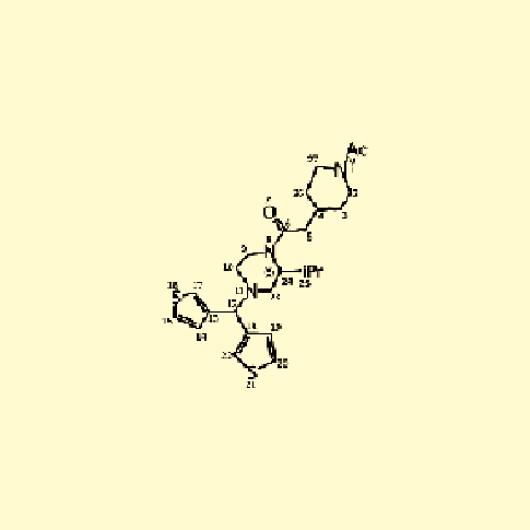 CC(=O)N1CCC(CC(=O)N2CCN(C(c3ccsc3)c3ccsc3)C[C@@H]2C(C)C)CC1